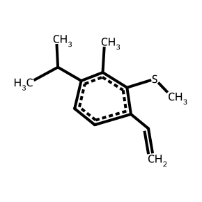 C=Cc1ccc(C(C)C)c(C)c1SC